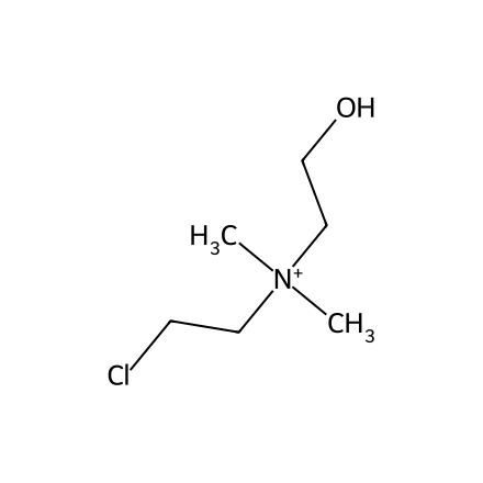 C[N+](C)(CCO)CCCl